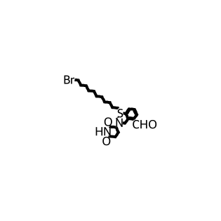 CN(Cc1c(C=O)cccc1SCCCCCCCCCCCBr)C1CCC(=O)NC1=O